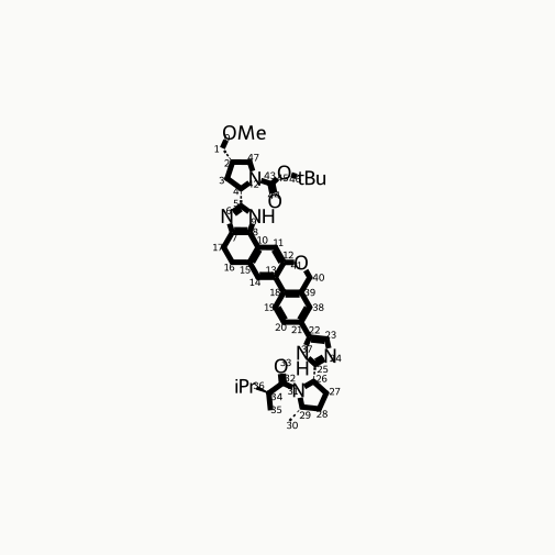 COC[C@H]1C[C@@H](c2nc3c([nH]2)-c2cc4c(cc2CC3)-c2ccc(-c3cnc([C@@H]5CC[C@H](C)N5C(=O)[C@@H](C)C(C)C)[nH]3)cc2CO4)N(C(=O)OC(C)(C)C)C1